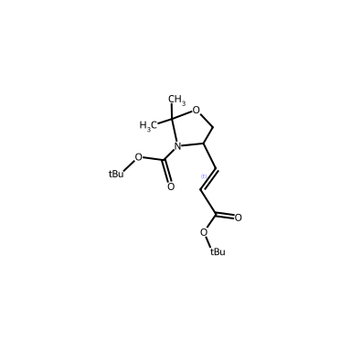 CC(C)(C)OC(=O)/C=C/C1COC(C)(C)N1C(=O)OC(C)(C)C